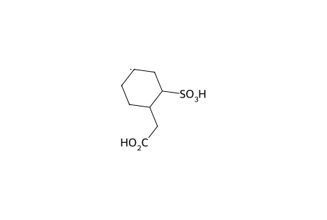 O=C(O)CC1CC[CH]CC1S(=O)(=O)O